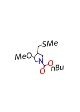 CCCCOC(=O)N1CC(CSC)C(OC)C1